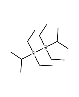 CC[Si](CC)(C(C)C)[Si](CC)(CC)C(C)C